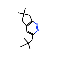 CC(C)(C)Cc1cc2c(nn1)CC(C)(C)C2